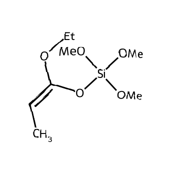 C/C=C(/OCC)O[Si](OC)(OC)OC